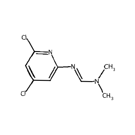 CN(C)/C=N/c1cc(Cl)cc(Cl)n1